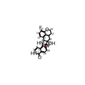 O=c1[nH]ccc2c(NC3c4ccc(F)c5c4C(CCO5)CC3(O)C(F)(F)F)cccc12